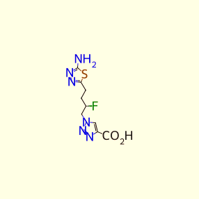 Nc1nnc(CC[C@@H](F)Cn2cc(C(=O)O)nn2)s1